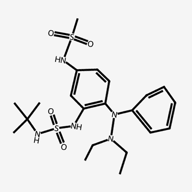 CCN(CC)N(c1ccccc1)c1ccc(NS(C)(=O)=O)cc1NS(=O)(=O)NC(C)(C)C